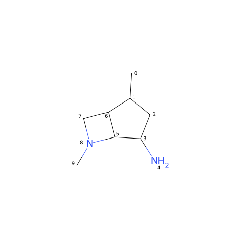 CC1CC(N)C2C1CN2C